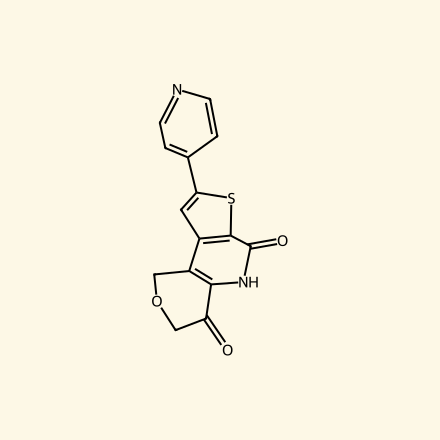 O=C1COCc2c1[nH]c(=O)c1sc(-c3ccncc3)cc21